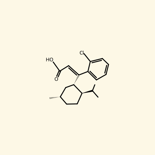 CC(C)[C@H]1CC[C@H](C)C[C@@H]1/C(=C\C(=O)O)c1ccccc1Cl